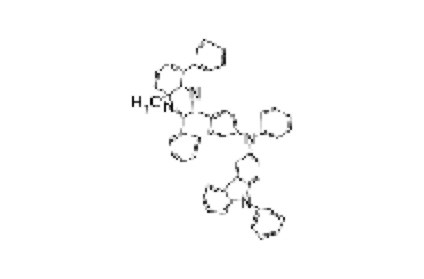 CC12C=CC=C(c3ccccc3)C1N=C(c1ccc(N(c3ccccc3)c3ccc4c(c3)c3ccccc3n4-c3ccccc3)cc1)C(c1ccccc1)=N2